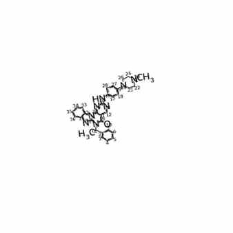 C[C@H](c1ccccc1)n1c(=O)c2cnc(Nc3ccc(N4CCN(C)CC4)cc3)nc2n2c3ccccc3nc12